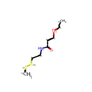 CCOCCC(=O)NCCSSC